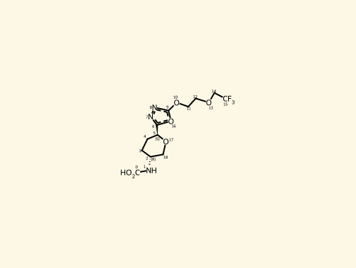 O=C(O)N[C@@H]1CC[C@@H](c2nnc(OCCOCC(F)(F)F)o2)OC1